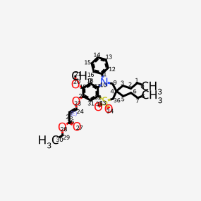 CCCCC1(CCCC)CN(c2ccccc2)c2cc(OC)c(O/C=C/C(=O)OCC)cc2S(=O)(=O)C1